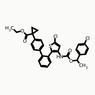 CCOC(=O)C1(c2ccc(-c3ccccc3-c3sc(Cl)cc3NC(=O)OC(C)c3ccc(Cl)cc3)cc2)CC1